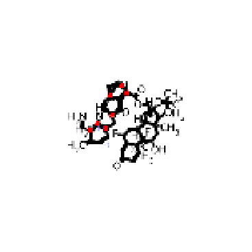 C=C(/C=C\C(=C/C)COC(=O)C1CCCC1C(=O)OCC(=O)[C@@]12OC(C)(C)O[C@@H]1C[C@H]1[C@@H]3C[C@H](F)C4=CC(=O)C=C[C@]4(C)[C@@]3(F)[C@@H](O)C[C@@]12C)[C@@H](CN)C(=O)Nc1ccc2cnccc2c1